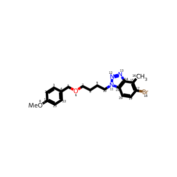 COc1ccc(COCCCCn2nnc3c(C)c(Br)ccc32)cc1